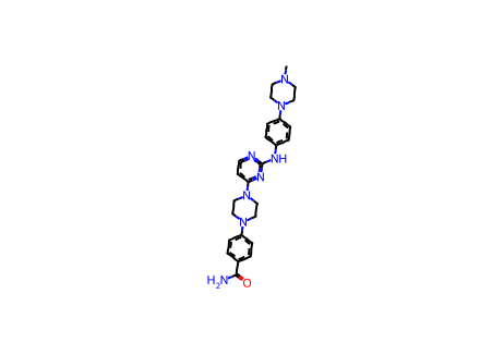 CN1CCN(c2ccc(Nc3nccc(N4CCN(c5ccc(C(N)=O)cc5)CC4)n3)cc2)CC1